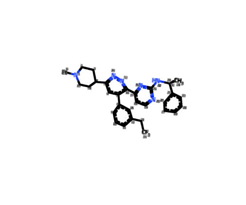 CCN1CCC(c2cc(-c3cccc(CC(F)(F)F)c3)c(-c3ccnc(N[C@@H](C)c4ccccc4)n3)nn2)CC1